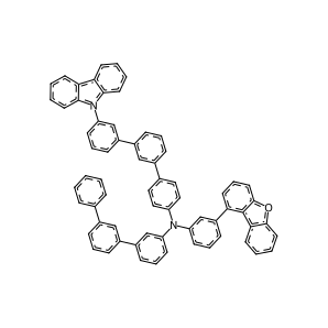 c1ccc(-c2cccc(-c3cccc(N(c4ccc(-c5cccc(-c6cccc(-n7c8ccccc8c8ccccc87)c6)c5)cc4)c4cccc(-c5cccc6oc7ccccc7c56)c4)c3)c2)cc1